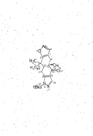 CC1(C)c2oncc2C[C@]2(C)C(=O)c3cnn(C(C)(C)C)c3C[C@@H]12